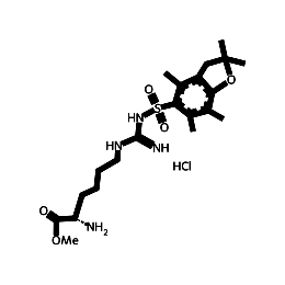 COC(=O)[C@@H](N)CCCCNC(=N)NS(=O)(=O)c1c(C)c(C)c2c(c1C)CC(C)(C)O2.Cl